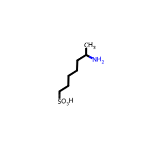 CC(N)CCCCCS(=O)(=O)O